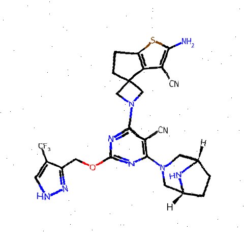 N#Cc1c(N2C[C@H]3CC[C@@H](C2)N3)nc(OCc2n[nH]cc2C(F)(F)F)nc1N1CC2(CCc3sc(N)c(C#N)c32)C1